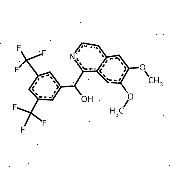 COc1cc2ccnc(C(O)c3cc(C(F)(F)F)cc(C(F)(F)F)c3)c2cc1OC